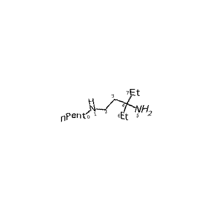 CCCCCNCCC(N)(CC)CC